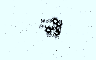 CCC1C[N+]2(Cc3cc(C(C)(C)C)cc(C(C)(C)C)c3)CCC1C[C@@H]2[C@@H](O)c1ccnc2ccc(OC)cc12